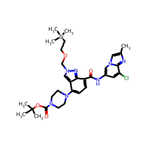 Cc1cn2cc(NC(=O)c3ccc(N4CCN(C(=O)OC(C)(C)C)CC4)c4cn(COCC[Si](C)(C)C)nc34)cc(Cl)c2n1